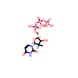 CC1(F)C(O)[C@@H](COP(=O)(O)OP(=O)(O)OP(=O)(O)O)O[C@H]1n1ccc(=O)[nH]c1=O